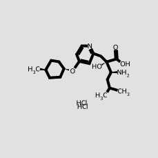 CC(C)C[C@H](N)[C@@](O)(Cc1cc(O[C@H]2CC[C@H](C)CC2)ccn1)C(=O)O.Cl.Cl